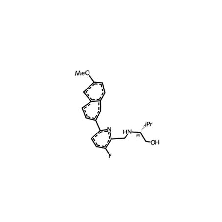 COc1ccc2cc(-c3ccc(F)c(CN[C@@H](CO)C(C)C)n3)ccc2c1